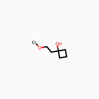 CCOCCC1(O)CCC1